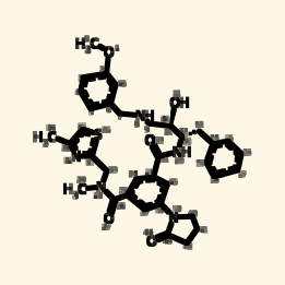 COc1cccc(CNC[C@@H](O)[C@H](Cc2ccccc2)NC(=O)c2cc(C(=O)N(C)Cc3nc(C)cs3)cc(N3CCCC3=O)c2)c1